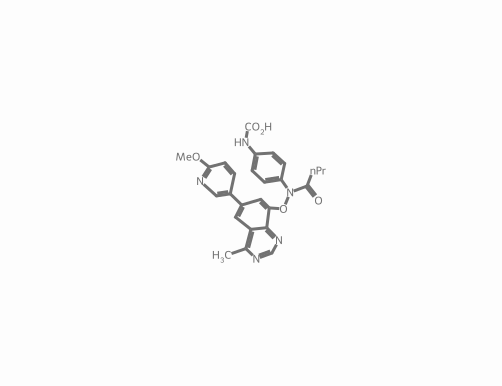 CCCC(=O)N(Oc1cc(-c2ccc(OC)nc2)cc2c(C)ncnc12)c1ccc(NC(=O)O)cc1